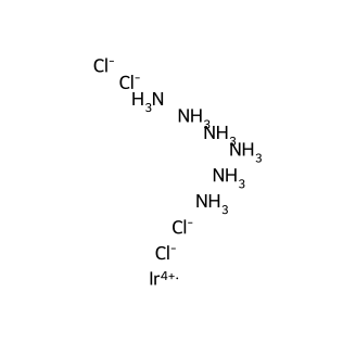 N.N.N.N.N.N.[Cl-].[Cl-].[Cl-].[Cl-].[Ir+4]